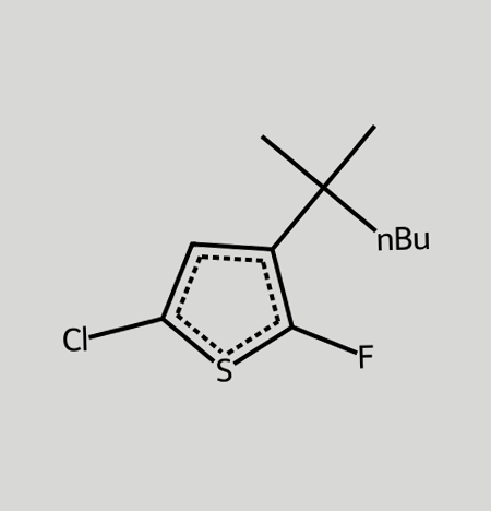 CCCCC(C)(C)c1cc(Cl)sc1F